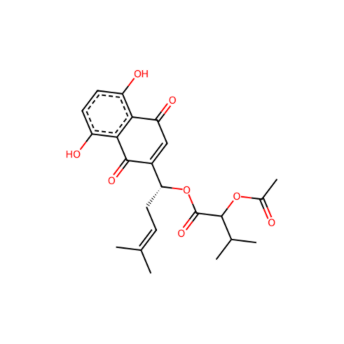 CC(=O)OC(C(=O)O[C@H](CC=C(C)C)C1=CC(=O)c2c(O)ccc(O)c2C1=O)C(C)C